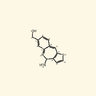 NC1N=c2cc(CO)ccc2=Cc2sccc21